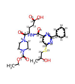 CCOC(=O)N1CCN(C(=O)C(CCC(=O)O)NC(=O)c2cc(SCC(C)O)nc(-c3ccccc3)n2)CC1